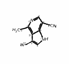 Cc1ncc(C#N)c2[nH]cc(Br)c12